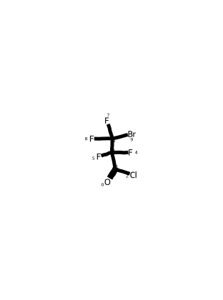 O=C(Cl)C(F)(F)C(F)(F)Br